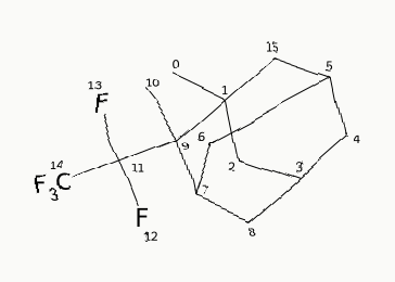 CC12CC3CC(CC(C3)C1(C)C(F)(F)C(F)(F)F)C2